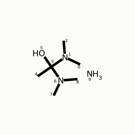 CN(C)C(C)(O)N(C)C.N